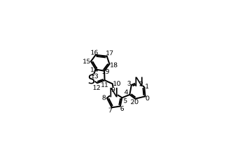 c1cncc(-c2cccn2Cc2csc3ccccc23)c1